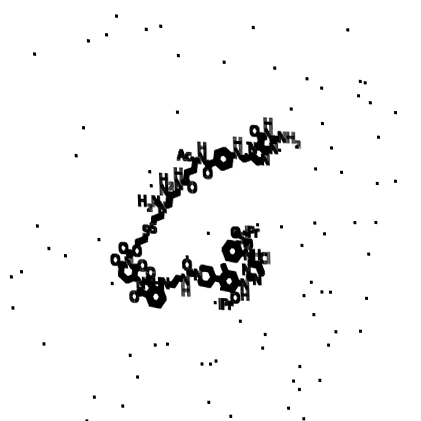 CC(=O)[C@H](CCC(=O)NC/C(N)=C/N(N)CCSSCCOC(=O)N1C(=O)CCC(N2C(=O)c3cccc(NCCNC(=O)N4CCC(c5cc(OC(C)C)c(Nc6ncc(Cl)c(Nc7ccccc7S(=O)(=O)C(C)C)n6)cc5C)CC4)c3C2=O)C1=O)NC(=O)c1ccc(NCc2cnc3nc(N)[nH]c(=O)c3n2)cc1